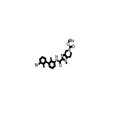 Cc1c(Br)cccc1-c1cccc(NC(=O)c2nc3c(n2C)CCN(C(=O)OC(C)(C)C)C3)c1C